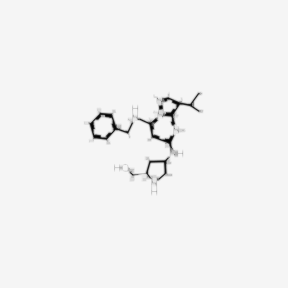 CC(C)c1cnn2c(NCc3ccccc3)cc(NC3CN[C@@H](CO)C3)nc12